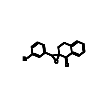 O=C1c2ccccc2CCC12OC2c1cccc(Br)c1